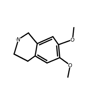 COc1cc2c(cc1OC)C[N]CC2